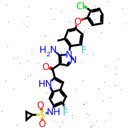 Cc1cc(Oc2ccccc2Cl)cc(F)c1-n1ncc(C(=O)c2cc3cc(F)c(NS(=O)(=O)C4CC4)cc3[nH]2)c1N